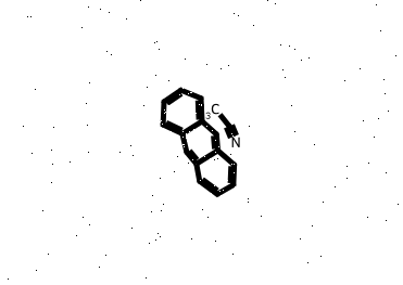 CC#N.c1ccc2cc3ccccc3cc2c1